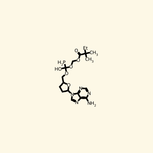 CCC(C)(C)C(=O)OCOC(O)(P)OCC1CCC(n2cnc3c(N)ncnc32)O1